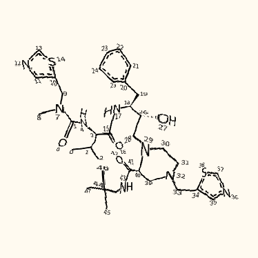 CC(C)[C@@H](NC(=O)N(C)Cc1cncs1)C(=O)N[C@@H](Cc1ccccc1)[C@H](O)CN1CCN(Cc2cncs2)C[C@H]1C(=O)NC(C)(C)C